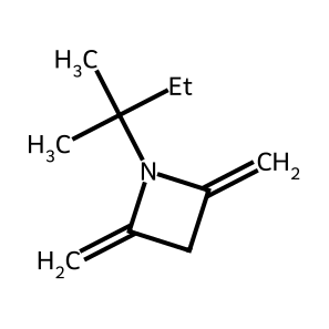 C=C1CC(=C)N1C(C)(C)CC